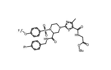 Cc1nc(N2CCN(S(=O)(=O)c3ccc(OC(F)(F)F)cc3)C(C(=O)NCc3ccc(C(C)C)cc3)C2)sc1C(=O)NCC(=O)OC(C)(C)C